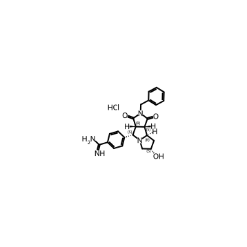 Cl.N=C(N)c1ccc([C@@H]2[C@@H]3C(=O)N(Cc4ccccc4)C(=O)[C@@H]3[C@H]3C[C@H](O)CN32)cc1